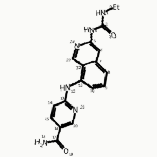 CCNC(=O)Nc1cc2cccc(Nc3ccc(C(N)=O)cn3)c2cn1